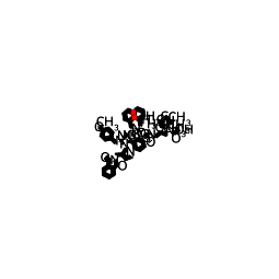 COc1ccc(Cn2nnc(-c3c(N4CC=C(CN5C(=O)c6ccccc6C5=O)C4)ccc(S(=O)(=O)NCC(CNC(=O)O)O[Si](C)(C)C(C)(C)C)c3S(=O)(=O)N(Cc3ccccc3)Cc3ccccc3)n2)cc1